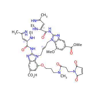 CCN/C(=C\C(C)=N)C(=O)Nc1nc2cc(C(=O)OC)cc(OC)c2n1C/C=C/Cn1c(NC(=O)/C(=C/C(C)=N)NCC)nc2cc(C(=O)O)cc(OCCCN(C)C(=O)CCN3C(=O)C=CC3=O)c21